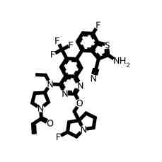 C=CC(=O)N1CCC(N(CC)c2nc(OCC34CCCN3CC(F)C4)nc3cc(-c4ccc(F)c5sc(N)c(C#N)c45)c(C(F)(F)F)cc23)C1